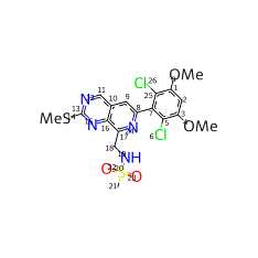 COc1cc(OC)c(Cl)c(-c2cc3cnc(SC)nc3c(CNS(C)(=O)=O)n2)c1Cl